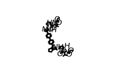 COC(=O)NC(C(=O)N1CCC[C@H]1Cc1[nH]c(-c2ccc(-c3ccc(-c4cnc([C@@H]5CCCN5C(=O)[C@@H](NC(=O)OC)C(C)(C)C)[nH]4)cc3)cc2)c2c1CCC2)C(C)C